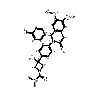 COc1cc2c(cc1OC(C)C)[C@H](c1ccc(Cl)cc1)N(c1ccc(C3(O)CN(C(=O)N(C)C)C3)cc1)C(=O)C2